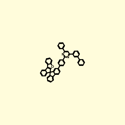 c1ccc(-c2cccc(-c3cc(-c4ccccc4)nc(-c4ccc(-c5ccc6c(c5)C5(c7ccccc7-6)c6ccccc6-c6c5oc5ccccc65)cc4)n3)c2)cc1